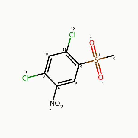 CS(=O)(=O)c1cc([N+](=O)[O-])c(Cl)cc1Cl